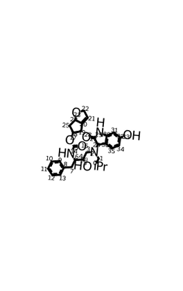 CC(C)CN(C[C@@H](O)C(Cc1ccccc1)NC(=O)OC1CC2=CCOC2C1)C1C(=O)Nc2cc(O)ccc21